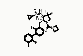 Cc1cccc(-c2cccc(C[C@H]3[C@@H](NS(=O)(=O)C4CC4)C(F)(F)CN3C(=O)N3CCC3)c2F)c1F